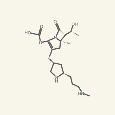 CNCCC[C@@H]1C[C@H](SC2=C(OC(=O)O)N3C(=O)[C@H]([C@@H](C)O)[C@H]3C2)CN1